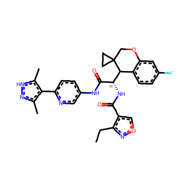 CCc1nocc1C(=O)N[C@H](C(=O)Nc1ccc(-c2c(C)n[nH]c2C)nc1)C1c2ccc(F)cc2OCC12CC2